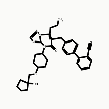 CCCc1c(Cc2ccc(-c3ccccc3C#N)cc2)c(=O)n(C2CCC(OCC3(O)CCCC3)CC2)c2ncnn12